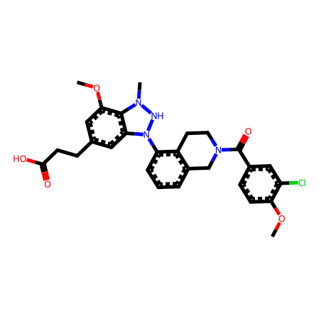 COc1ccc(C(=O)N2CCc3c(cccc3N3NN(C)c4c(OC)cc(CCC(=O)O)cc43)C2)cc1Cl